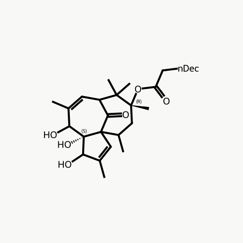 CCCCCCCCCCCC(=O)O[C@]1(C)CC(C)C23C=C(C)C(O)[C@@]2(O)C(O)C(C)=CC(C3=O)C1(C)C